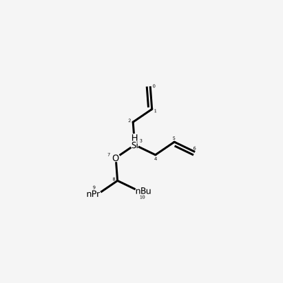 C=CC[SiH](CC=C)OC(CCC)CCCC